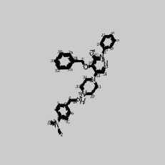 CN(C)c1ccc(CPN2CCN(c3cnn(-c4ccccc4)c(=O)c3OCc3ccccc3)CC2)cc1